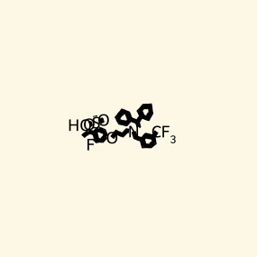 CC(O)c1c(F)cc(OCCCN(Cc2cccc(C(F)(F)F)c2)CC(c2ccccc2)c2ccccc2)cc1S(C)(=O)=O